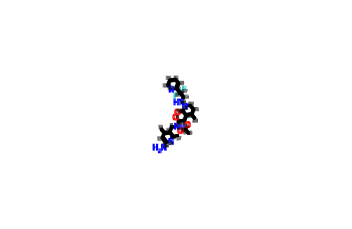 CC(=O)OC(C(=O)NCc1c(C)cc(N)nc1C)C1=C(C)CCN(NCC(F)(F)c2ccccn2)C1=O